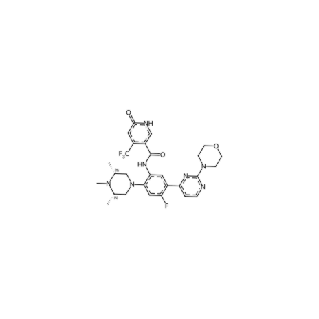 C[C@@H]1CN(c2cc(F)c(-c3ccnc(N4CCOCC4)n3)cc2NC(=O)c2c[nH]c(=O)cc2C(F)(F)F)C[C@H](C)N1C